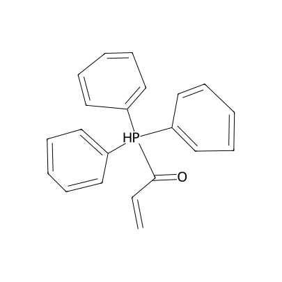 C=CC(=O)[PH](c1ccccc1)(c1ccccc1)c1ccccc1